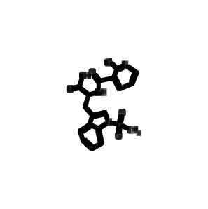 CS(=O)(=O)n1cc(C[C@H](NC(=O)c2cccnc2Cl)C(=O)O)c2ccccc21